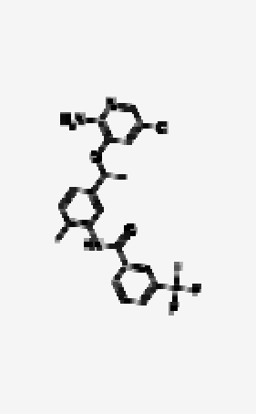 Cc1ccc(C(C)Oc2cc(Cl)cnc2N)cc1NC(=O)c1cccc(C(F)(F)F)c1